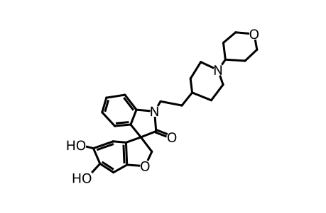 O=C1N(CCC2CCN(C3CCOCC3)CC2)c2ccccc2C12COc1cc(O)c(O)cc12